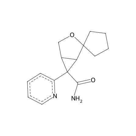 NC(=O)C1(c2ccccn2)C2COC3(CCCC3)C21